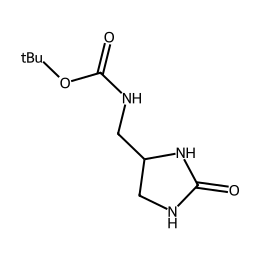 CC(C)(C)OC(=O)NCC1CNC(=O)N1